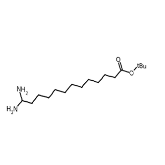 CC(C)(C)OC(=O)CCCCCCCCCCCC(N)N